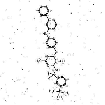 CC(=O)N[C@@H](Cc1ccc(Nc2cccc(-c3ccccc3)c2)cc1)[C@@H](O)CNC1(c2cccc(C(C)(C)C)c2)CC1